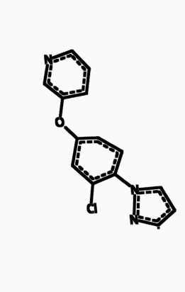 Clc1cc(Oc2cccnc2)ccc1-n1cc[c]n1